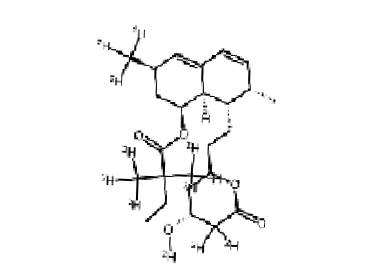 [2H]O[C@@H]1CC(CC[C@@H]2[C@@H]3C(=C[C@H](C([2H])([2H])[2H])C[C@@H]3OC(=O)C(CC)(C([2H])([2H])[2H])C([2H])([2H])[2H])C=C[C@@H]2C)OC(=O)C1([2H])[2H]